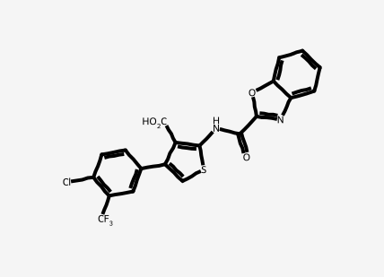 O=C(Nc1scc(-c2ccc(Cl)c(C(F)(F)F)c2)c1C(=O)O)c1nc2ccccc2o1